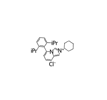 CC(C)c1cccc(C(C)C)c1-c1cccc2c[n+](C3CCCCC3)cn12.[Cl-]